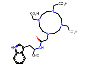 O=CC(Cc1c[nH]c2ccccc12)NC(=O)CN1CCN(CC(=O)O)CCN(CC(=O)O)CCN(CC(=O)O)CC1